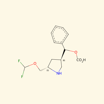 O=C(O)OC(c1ccccc1)[C@H]1CN[C@H](COC(F)F)C1